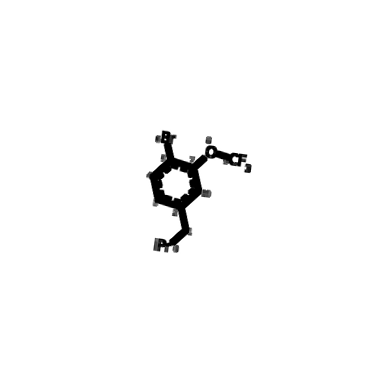 CC(C)Cc1ccc(Br)c(OC(F)(F)F)c1